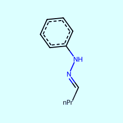 CCCC=NNc1ccccc1